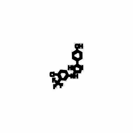 Oc1ccc(-c2ncc(Nc3ccc(Cl)c(C(F)(F)F)c3)[nH]2)cc1